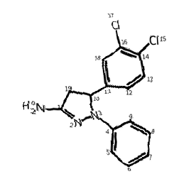 NC1=NN(c2ccccc2)C(c2ccc(Cl)c(Cl)c2)C1